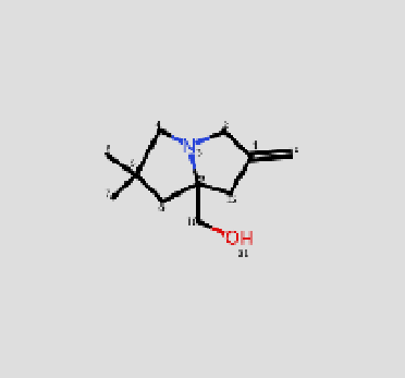 C=C1CN2CC(C)(C)CC2(CO)C1